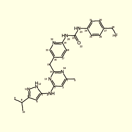 Cc1cc(Nc2cc(C(C)C)n[nH]2)nc(Cc2ccc(NC(=O)Nc3ccc(CF)cc3)nc2)n1